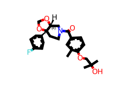 Cc1cc(C(=O)N2CC[C@]3(c4ccc(F)cc4)OCO[C@@H]3C2)ccc1OCC(C)(C)O